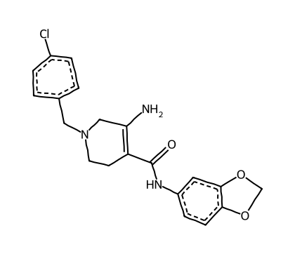 NC1=C(C(=O)Nc2ccc3c(c2)OCO3)CCN(Cc2ccc(Cl)cc2)C1